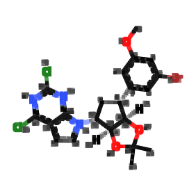 COc1cc(Br)cc([C@H]2C[C@@H](n3ccc4c(Cl)nc(Cl)nc43)[C@@H]3OC(C)(C)O[C@@H]32)c1